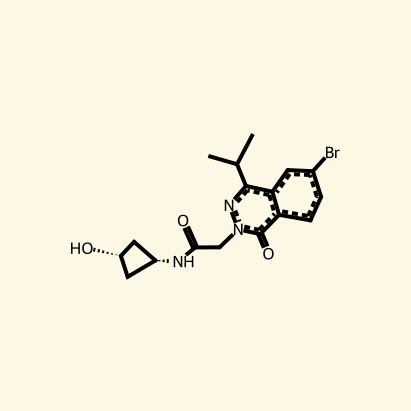 CC(C)c1nn(CC(=O)N[C@H]2C[C@@H](O)C2)c(=O)c2ccc(Br)cc12